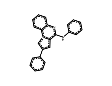 c1ccc(Nc2nc3ccccc3n3cc(-c4ccccc4)cc23)cc1